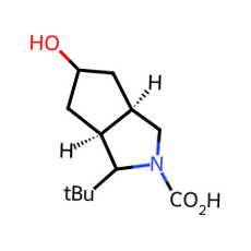 CC(C)(C)C1[C@H]2CC(O)C[C@H]2CN1C(=O)O